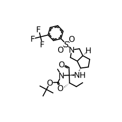 CC[C@H](C)[C@](C=O)(N[C@H]1CC[C@@H]2CN(S(=O)(=O)c3cccc(C(F)(F)F)c3)CC21)N(C)C(=O)OC(C)(C)C